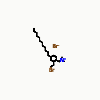 CCCCCCCCCCCCc1ccc(C=[N+](C)C)c(CCBr)c1.[Br-]